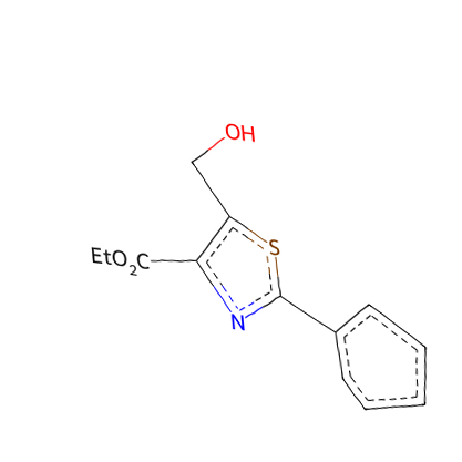 CCOC(=O)c1nc(-c2ccccc2)sc1CO